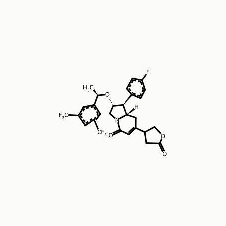 C[C@@H](O[C@H]1CN2C(=O)C=C(C3COC(=O)C3)C[C@H]2[C@@H]1c1ccc(F)cc1)c1cc(C(F)(F)F)cc(C(F)(F)F)c1